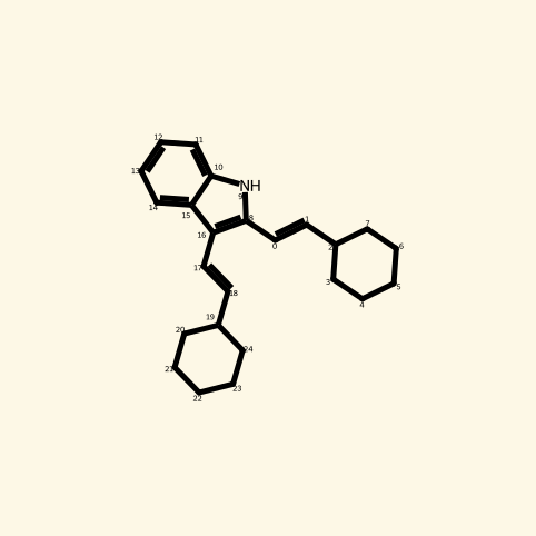 C(=C\C1CCCCC1)/c1[nH]c2ccccc2c1/C=C/C1CCCCC1